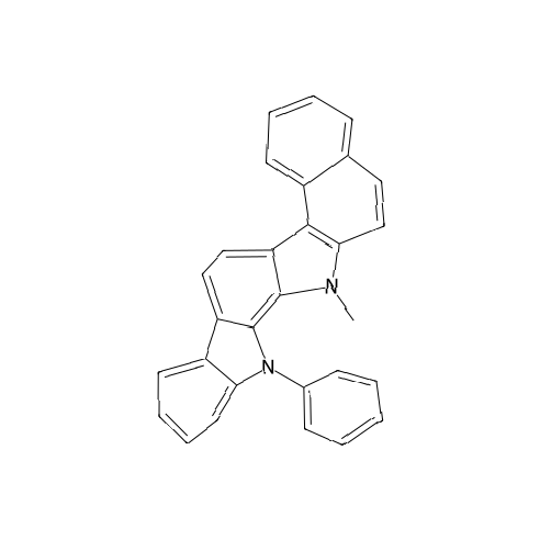 Cn1c2ccc3ccccc3c2c2ccc3c4ccccc4n(-c4ccccc4)c3c21